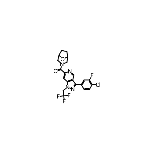 O=C(c1cc2c(cn1)c(-c1ccc(Cl)c(F)c1)nn2CC(F)(F)F)N1CC2CCC(C1)O2